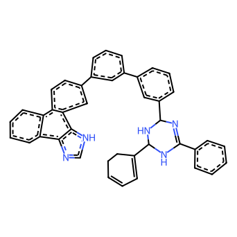 C1=CCCC(C2NC(c3ccccc3)=NC(c3cccc(-c4cccc(-c5ccc6c7ccccc7c7nc[nH]c7c6c5)c4)c3)N2)=C1